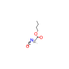 CCCCOC(=O)[C@H](C)N=C=O